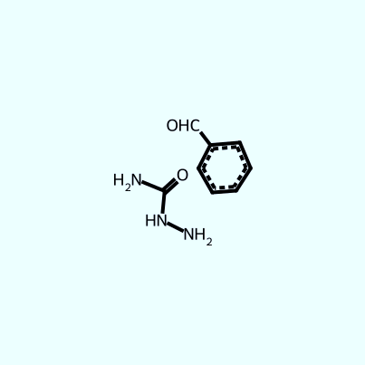 NNC(N)=O.O=Cc1ccccc1